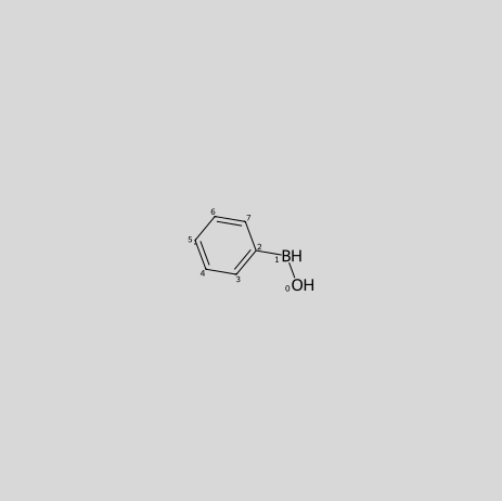 OBc1cc[c]cc1